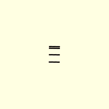 C=C.CC.CC